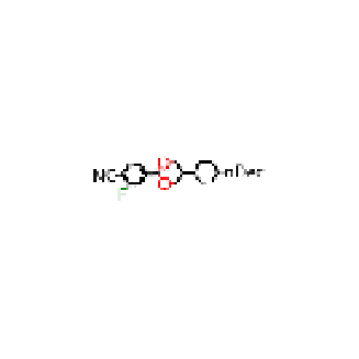 CCCCCCCCCCC1CCC(C2COC(c3ccc(C#N)c(F)c3)OC2)CC1